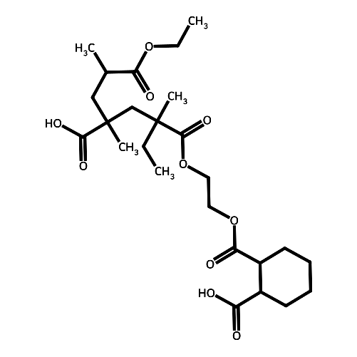 CCOC(=O)C(C)CC(C)(CC(C)(CC)C(=O)OCCOC(=O)C1CCCCC1C(=O)O)C(=O)O